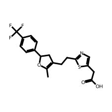 CC1=C(CCc2ncc(CC(=O)O)s2)CC(c2ccc(C(F)(F)F)cc2)O1